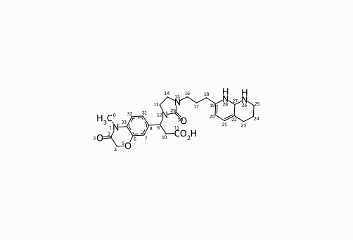 CN1C(=O)COc2cc(C(CC(=O)O)N3CCN(CCCC4=CC=C5CCCNC5N4)C3=O)ccc21